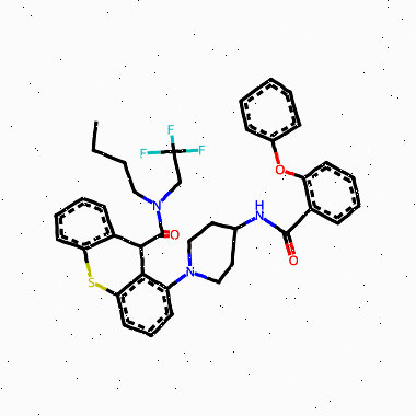 CCCCN(CC(F)(F)F)C(=O)C1c2ccccc2Sc2cccc(N3CCC(NC(=O)c4ccccc4Oc4ccccc4)CC3)c21